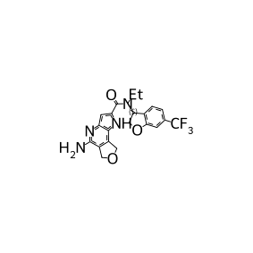 CCN(C(=O)c1cc2nc(N)c3c(c2[nH]1)COC3)[C@@H]1COc2cc(C(F)(F)F)ccc21